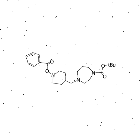 CC(C)(C)OC(=O)N1CCCN(CC2CCN(OC(=O)c3ccccc3)CC2)CC1